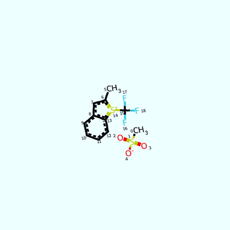 CS(=O)(=O)[O-].Cc1cc2ccccc2[s+]1C(F)(F)F